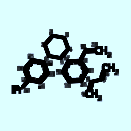 C1CCCCC1.C=CC=C.C=Cc1ccccc1.CC(C)c1ccccc1